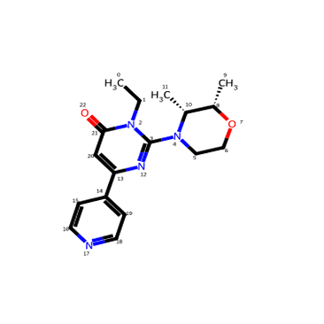 CCn1c(N2CCO[C@@H](C)[C@H]2C)nc(-c2ccncc2)cc1=O